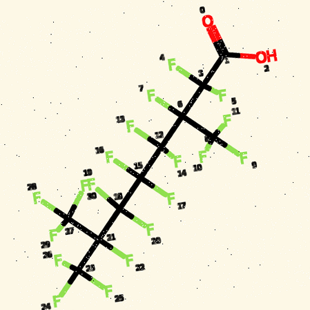 O=C(O)C(F)(F)C(F)(C(F)(F)F)C(F)(F)C(F)(F)C(F)(F)C(F)(C(F)(F)F)C(F)(F)F